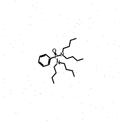 CCCCN(CCCC)P(=O)(c1ccccc1)N(CCCC)CCCC